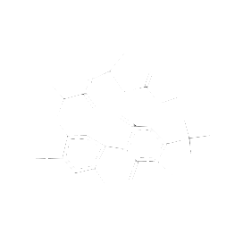 COC(=O)CC(C)NC(=O)C(C)Oc1cc(-n2c(=O)cc(C(F)(F)F)n(C)c2=O)c(F)cc1Cl